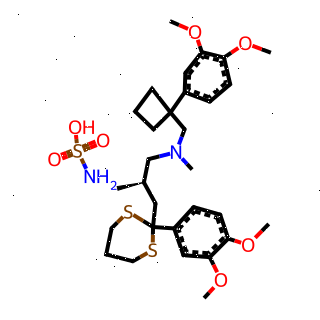 COc1ccc(C2(CN(C)C[C@H](C)CC3(c4ccc(OC)c(OC)c4)SCCCS3)CCC2)cc1OC.NS(=O)(=O)O